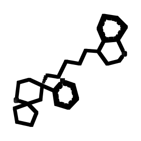 c1ccc([C@]2(CCCCCC3CCOc4ccccc43)CCOC3(CCCC3)C2)nc1